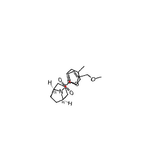 COCc1ccc(S(=O)(=O)N2[C@@H]3CC[C@H]2C[C@H](N2CCC(C)CC2)C3)o1